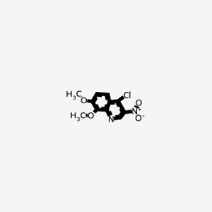 COc1ccc2c(Cl)c([N+](=O)[O-])cnc2c1OC